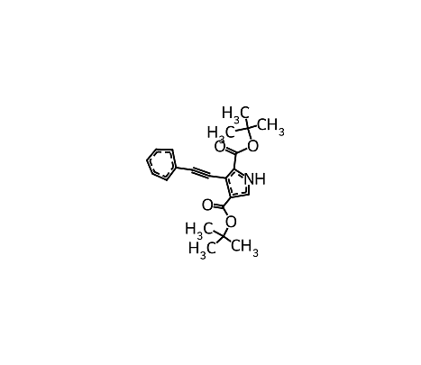 CC(C)(C)OC(=O)c1c[nH]c(C(=O)OC(C)(C)C)c1C#Cc1ccccc1